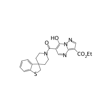 CCOC(=O)c1cnn2c(O)c(C(=O)N3CCC4(CC3)CSc3ccccc34)cnc12